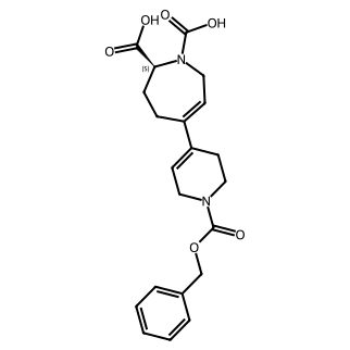 O=C(O)[C@@H]1CCC(C2=CCN(C(=O)OCc3ccccc3)CC2)=CCN1C(=O)O